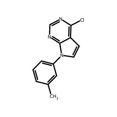 Cc1cccc(-n2ccc3c(Cl)ncnc32)c1